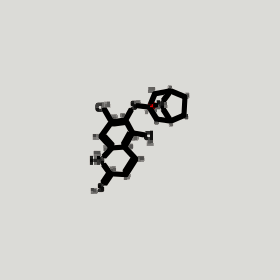 CN1C2CCC1CC(Sc1c(Cl)cc3[nH]c(=S)ccc3c1Cl)C2